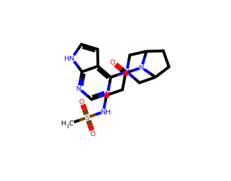 CS(=O)(=O)NCCC(=O)N1C2CCC1CN(c1ncnc3[nH]ccc13)C2